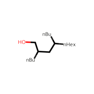 CCCCCCC(CCCC)CC(CO)CCCC